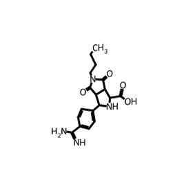 CCCCN1C(=O)C2C(C(=O)O)NC(c3ccc(C(=N)N)cc3)C2C1=O